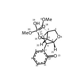 COC[C@@]12CO[C@H](C(n3ccccc3=O)O1)[C@@H]2OP(=O)(O)OC